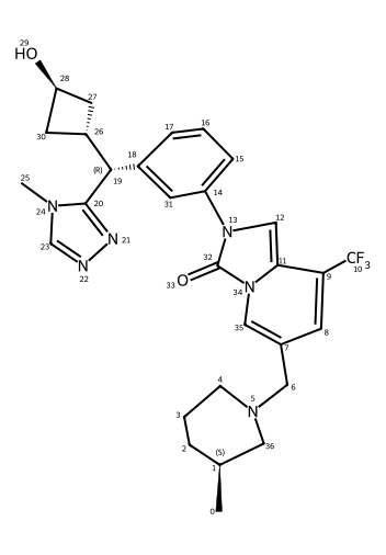 C[C@H]1CCCN(Cc2cc(C(F)(F)F)c3cn(-c4cccc([C@H](c5nncn5C)[C@H]5C[C@H](O)C5)c4)c(=O)n3c2)C1